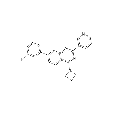 Fc1cccc(-c2ccc3c(N4CCC4)nc(-c4cccnc4)nc3c2)c1